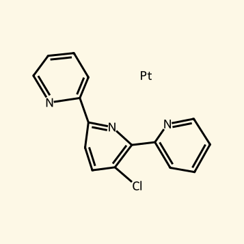 Clc1ccc(-c2ccccn2)nc1-c1ccccn1.[Pt]